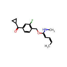 C/C=C\C=C(/NC)OCc1ccc(C(=O)C2CC2)cc1F